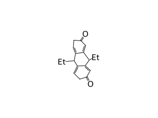 CCC1C2=CCC(=O)C=C2C(CC)C2=CC(=O)CC=C21